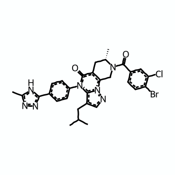 Cc1nnc(-c2ccc(-n3c(=O)c4c(n5ncc(CC(C)C)c35)CN(C(=O)c3ccc(Br)c(Cl)c3)[C@@H](C)C4)cc2)[nH]1